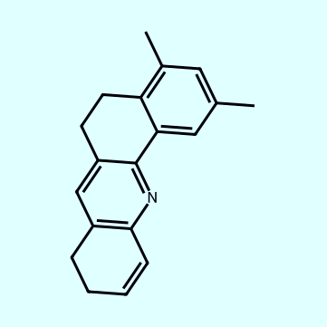 Cc1cc(C)c2c(c1)-c1nc3c(cc1CC2)CCC=C3